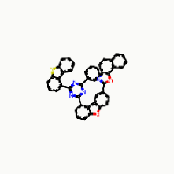 c1ccc(-c2nc(-c3cccc4oc5ccc(-c6nc7ccc8ccccc8c7o6)cc5c34)nc(-c3cccc4sc5ccccc5c34)n2)cc1